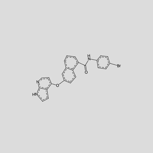 O=C(Nc1ccc(Br)cc1)c1cccc2cc(Oc3ccnc4[nH]ccc34)ccc12